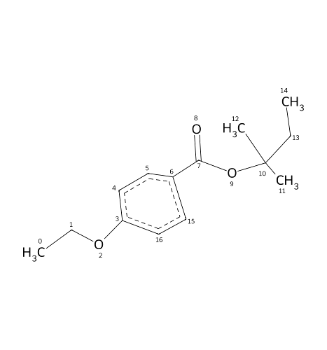 CCOc1ccc(C(=O)OC(C)(C)CC)cc1